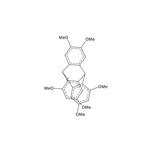 COc1cc2c(c(OC)c1)C1c3cc(OC)c(OC)cc3C(C2)c2c(OC)cc(OC)cc21